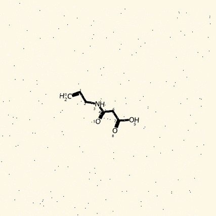 C=CCNC(=O)CC(=O)O